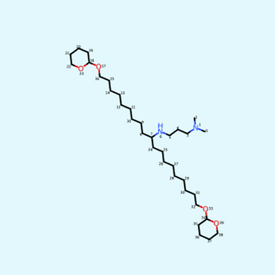 CN(C)CCCNC(CCCCCCCCCOC1CCCCO1)CCCCCCCCCOC1CCCCO1